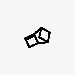 C1=C2C3CC(C3)C2C1